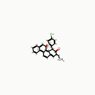 CCC1C=c2ccc3c(c2C(c2ccc(F)cc2)C1=O)C(=O)C=c1ccccc1=3